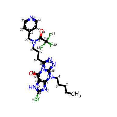 CCCCCn1c2nc(Br)[nH]c2c(=O)n2c(CCCN(Cc3ccncc3)C(=O)C(F)(F)F)nnc12